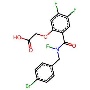 O=C(O)COc1cc(F)c(F)cc1C(=O)N(F)Cc1ccc(Br)cc1